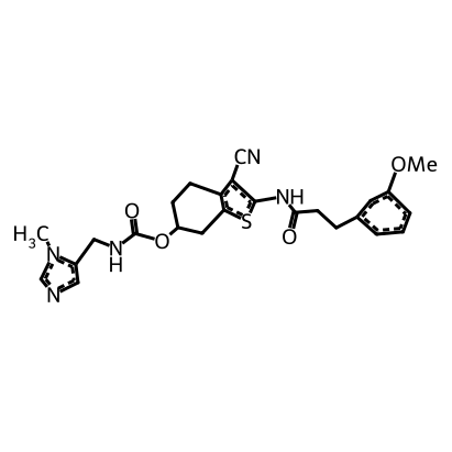 COc1cccc(CCC(=O)Nc2sc3c(c2C#N)CCC(OC(=O)NCc2cncn2C)C3)c1